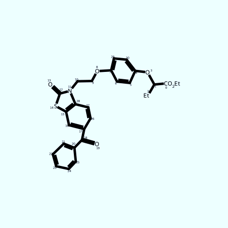 CCOC(=O)C(CC)Oc1ccc(OCCn2c(=O)sc3cc(C(=O)c4ccccc4)ccc32)cc1